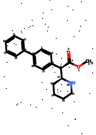 COC(=O)[C@H](c1ccc(-c2ccccc2)cc1)[C@@H]1CCCCN1